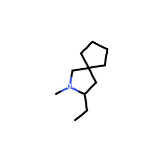 CCC1CC2(CCCC2)CN1C